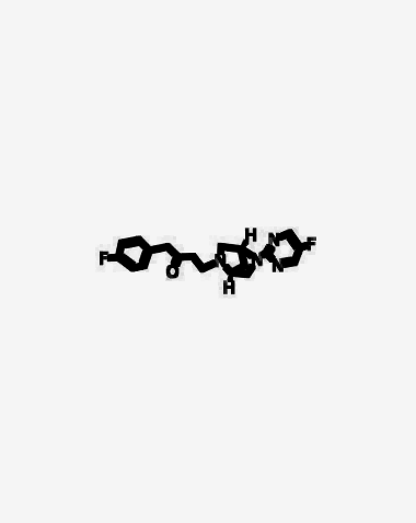 O=C(CCN1C[C@H]2C[C@@H]1CN2c1ncc(F)cn1)Cc1ccc(F)cc1